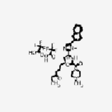 CCC(=O)CCCCC[C@H](NC(=O)C(=O)N1CCN(C)CC1)c1ncc(-c2ccc3ccccc3c2)[nH]1.O=C(O)C(F)(F)F.O=C(O)C(F)(F)F